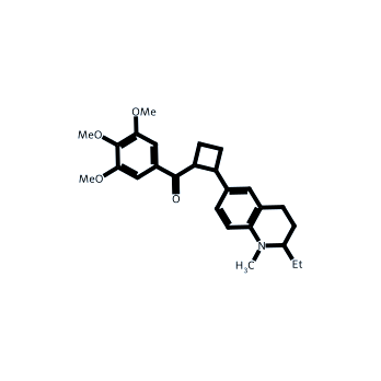 CCC1CCc2cc(C3CCC3C(=O)c3cc(OC)c(OC)c(OC)c3)ccc2N1C